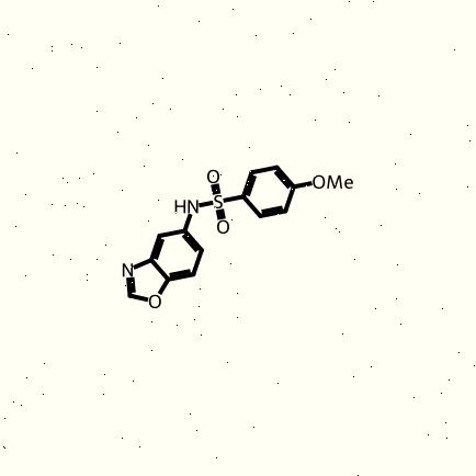 COc1ccc(S(=O)(=O)Nc2ccc3ocnc3c2)cc1